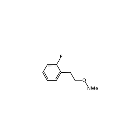 CNOCCc1ccccc1F